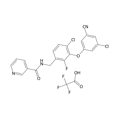 N#Cc1cc(Cl)cc(Oc2c(Cl)ccc(CNC(=O)c3cccnc3)c2F)c1.O=C(O)C(F)(F)F